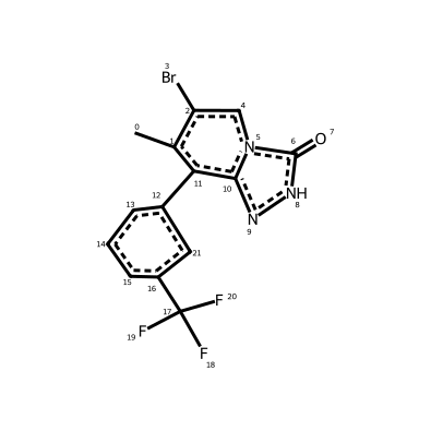 Cc1c(Br)cn2c(=O)[nH]nc2c1-c1cccc(C(F)(F)F)c1